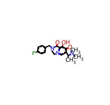 CC(c1cn2c(c(O)c1=O)C(=O)N(Cc1ccc(F)cc1)CC2)N(C)C